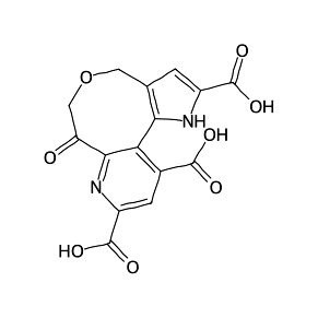 O=C(O)c1cc(C(=O)O)c2c(n1)C(=O)COCc1cc(C(=O)O)[nH]c1-2